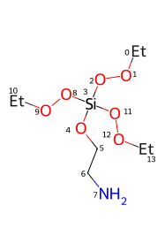 CCOO[Si](OCCN)(OOCC)OOCC